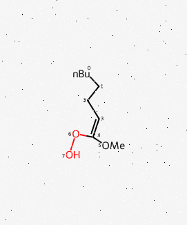 CCCCCCC=C(OC)OO